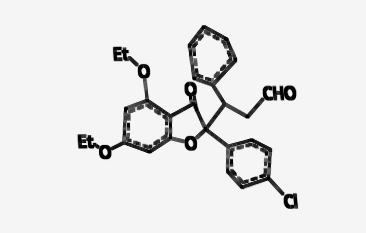 CCOc1cc(OCC)c2c(c1)OC(c1ccc(Cl)cc1)(C(CC=O)c1ccccc1)C2=O